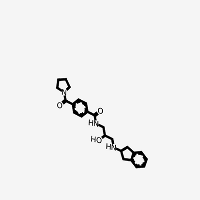 O=C(NCC(O)CNC1Cc2ccccc2C1)c1ccc(C(=O)N2CCCC2)cc1